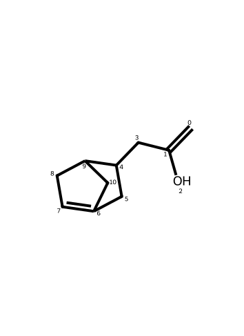 C=C(O)CC1CC2=CCC1C2